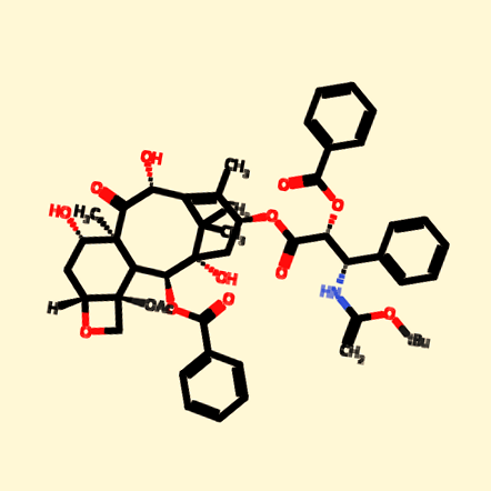 C=C(N[C@@H](c1ccccc1)[C@@H](OC(=O)c1ccccc1)C(=O)O[C@H]1C[C@@]2(O)[C@@H](OC(=O)c3ccccc3)C3[C@](C)(C(=O)[C@H](O)C(=C1C)C2(C)C)[C@@H](O)C[C@H]1OC[C@@]31OC(C)=O)OC(C)(C)C